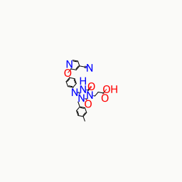 Cc1ccc(Cn2c(=O)n(CCC(=O)O)c(=O)[nH]/c2=N\c2ccc(Oc3cc(C#N)ccn3)cc2)cc1